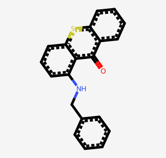 O=c1c2ccccc2sc2cccc(NCc3ccccc3)c12